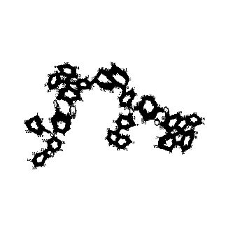 c1ccc(N(c2ccc3c(c2)Oc2cc4c(cc2O3)-c2cc(-c3ccc5c(-c6ccc(N(c7ccc(-c8cccc9ccccc89)cc7)c7ccc8c(c7)Oc7cc9c(cc7O8)-c7ccccc7C97c8ccccc8-c8ccccc87)cc6)cccc5c3)ccc2C42c3ccccc3-c3ccccc32)c2ccc3oc4ccccc4c3c2)cc1